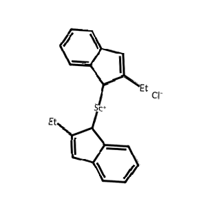 CCC1=Cc2ccccc2[CH]1[Sc+][CH]1C(CC)=Cc2ccccc21.[Cl-]